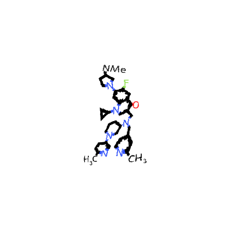 CNC1CCN(c2cc3c(cc2F)c(=O)c(CN(Cc2ccnc(C)c2)[C@H]2CCCN(c4ccc(C)nc4)C2)cn3C2CC2)C1